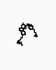 C[C@@H](Cc1ccc2cc(CCCCN)ccc2c1)C(=O)Nc1ccc(CCCN(C)C)cc1